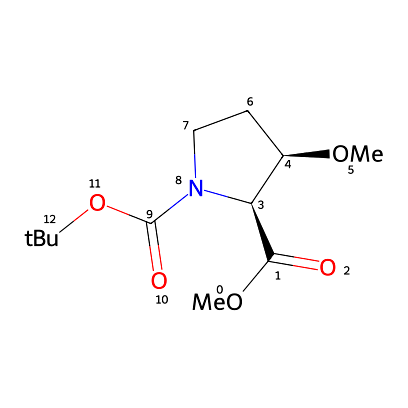 COC(=O)[C@@H]1[C@H](OC)CCN1C(=O)OC(C)(C)C